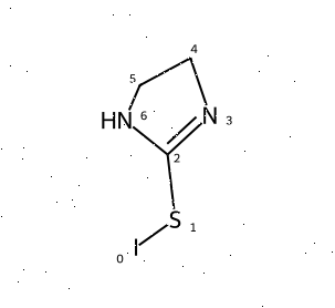 ISC1=NCCN1